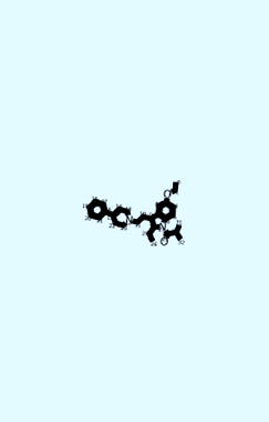 CCOc1ccc2c(c1)C(CCN1CC=C(c3ccccc3)CC1)C(CC)N2C(=O)C(C)C